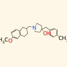 COc1ccc2c(c1)CCC(CN1CCC(O)(Cc3ccc(C)cc3)CC1)C2